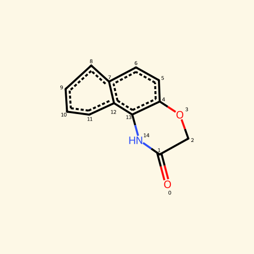 O=C1COc2ccc3ccccc3c2N1